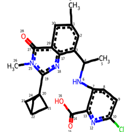 Cc1cc(C(C)Nc2ccc(Cl)nc2C(=O)O)c2nc(C34CC(C3)C4)n(C)c(=O)c2c1